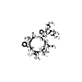 CC[C@H](C)C1NC(=O)[C@H](Cc2ccccc2)NC(=O)[C@H](N)C(C)(C)SSC[C@@H](C(=O)N2CCC[C@H]2C(=O)N[C@@H](CC(C)C)C(=O)NCC(N)=O)NC(=O)[C@H](CC(N)=O)NC(=O)[C@H]([C@@H](C)O)NC1=O